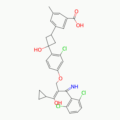 Cc1cc(C(=O)O)cc(C2CC(O)(c3ccc(OC/C(C(=N)c4c(Cl)cccc4Cl)=C(/O)C4CC4)cc3Cl)C2)c1